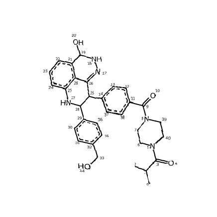 CC(C)C(=O)N1CCN(C(=O)c2ccc(C3C4=NNC(O)c5cccc(c54)NC3c3ccc(CO)cc3)cc2)CC1